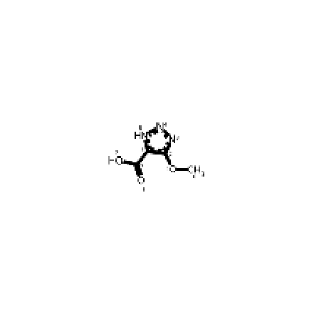 COc1nn[nH]c1C(=O)O